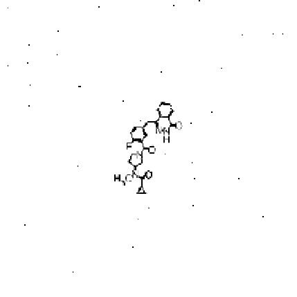 CN(C(=O)C1CC1)C1CCN(C(=O)c2cc(Cc3n[nH]c(=O)c4ccccc34)ccc2F)C1